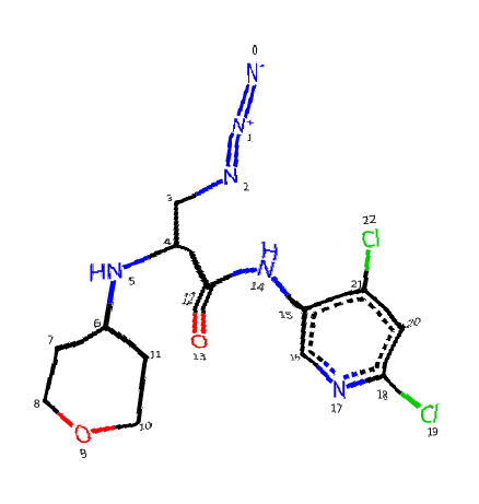 [N-]=[N+]=NCC(NC1CCOCC1)C(=O)Nc1cnc(Cl)cc1Cl